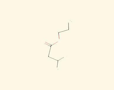 CCCC(C=O)CC(=O)OCCC#N